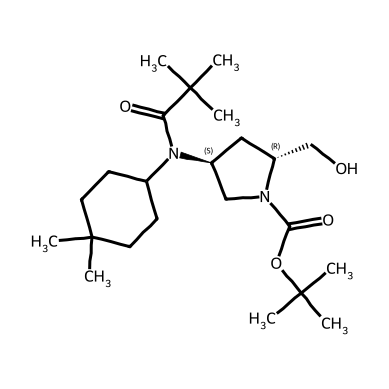 CC1(C)CCC(N(C(=O)C(C)(C)C)[C@H]2C[C@H](CO)N(C(=O)OC(C)(C)C)C2)CC1